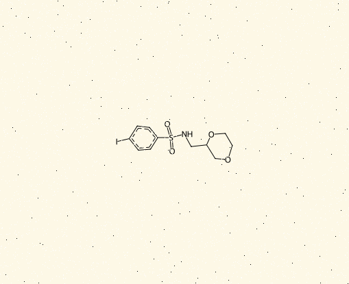 O=S(=O)(NCC1COCCO1)c1ccc(I)cc1